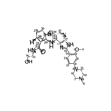 COc1cc(N2CCN(C)CC2)ccc1-c1nc2c(N[C@H]3[C@@H](C(=O)NCCO)[C@@H]4C=C[C@H]3C4)c(Cl)cnc2[nH]1